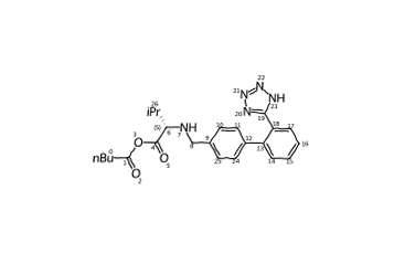 CCCCC(=O)OC(=O)[C@@H](NCc1ccc(-c2ccccc2-c2nnn[nH]2)cc1)C(C)C